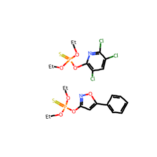 CCOP(=S)(OCC)Oc1cc(-c2ccccc2)on1.CCOP(=S)(OCC)Oc1nc(Cl)c(Cl)cc1Cl